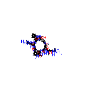 CC(=O)NC(CCCNC(=N)N)C(=O)N[C@H]1CCC(=O)NCCCC(C(=O)O)NC(=O)[C@H](Cc2c[nH]c3ccccc23)NC(=O)C(CCCNC(=N)N)NC(=O)[C@@H](Cc2ccccc2)NC(=O)C(CCC(N)=O)NC1=O